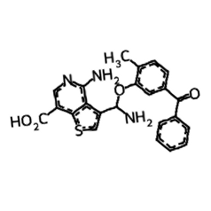 Cc1ccc(C(=O)c2ccccc2)cc1OC(N)c1csc2c(C(=O)O)cnc(N)c12